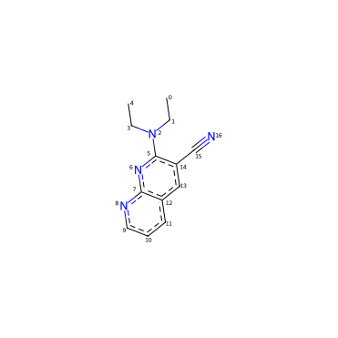 CCN(CC)c1nc2ncccc2cc1C#N